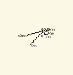 CCCCCCCCCCCCCCCCCC[N+](CCCCCCCCCCCCCCCCCC)(C(=O)OCC)C1O[C@H](CO)[C@H](O)[C@H](O)[C@H]1O